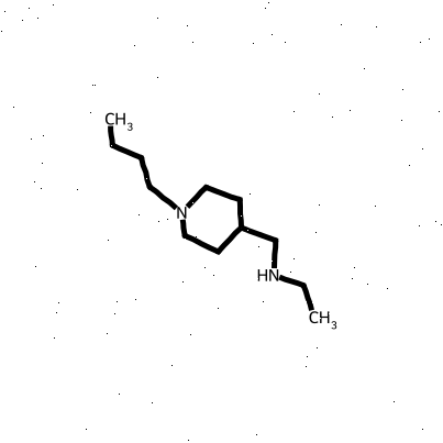 CCCCN1CCC(CNCC)CC1